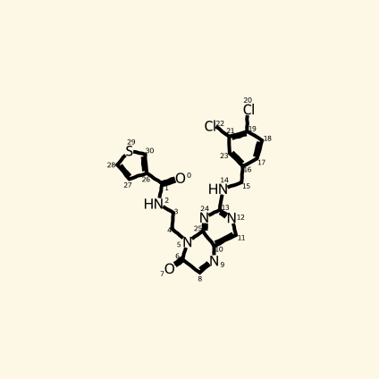 O=C(NCCn1c(=O)cnc2cnc(NCc3ccc(Cl)c(Cl)c3)nc21)c1ccsc1